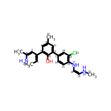 C/C=C(\C=C(\C)N)c1cc(C)cc(-c2ccc(N/C=C\NC)c(Cl)c2)c1O